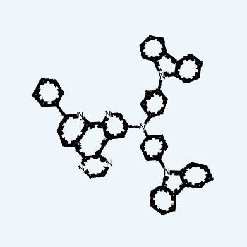 c1ccc(-c2ccc3c4nccnc4c4cc(N(c5ccc(-n6c7ccccc7c7ccccc76)cc5)c5ccc(-n6c7ccccc7c7ccccc76)cc5)cnc4c3n2)cc1